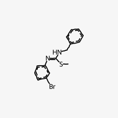 CSC(=Nc1cccc(Br)c1)NCc1ccccc1